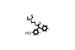 CCN(CC)CCSC(=O)C(c1ccccc1)c1ccccc1.Cl